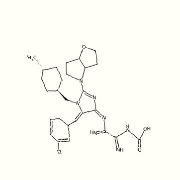 C[C@H]1CC[C@H](CN2C(N3CCC4OCCC43)=NC(=N/C(=N)C(=N)NC(=O)O)/C2=C/C2C=C(Cl)C=CC2)CC1